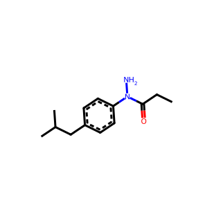 CCC(=O)N(N)c1ccc(CC(C)C)cc1